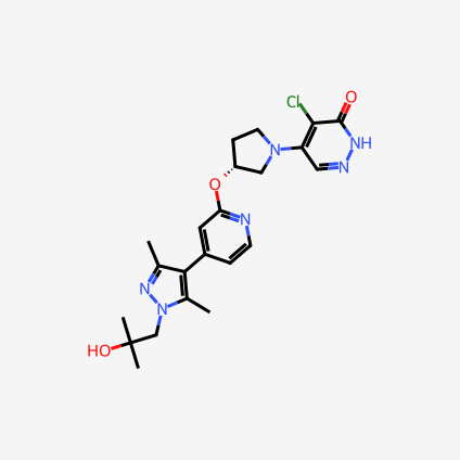 Cc1nn(CC(C)(C)O)c(C)c1-c1ccnc(O[C@@H]2CCN(c3cn[nH]c(=O)c3Cl)C2)c1